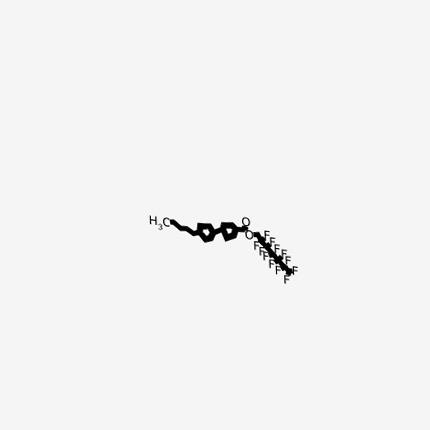 CCCCCc1ccc(-c2ccc(C(=O)OCC(F)(F)C(F)(F)C(F)(F)C(F)(F)C(F)(F)C(F)F)cc2)cc1